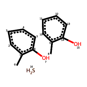 Cc1ccccc1O.Cc1ccccc1O.S